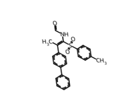 C/C(=C(\NC=O)S(=O)(=O)c1ccc(C)cc1)c1ccc(-c2ccccc2)cc1